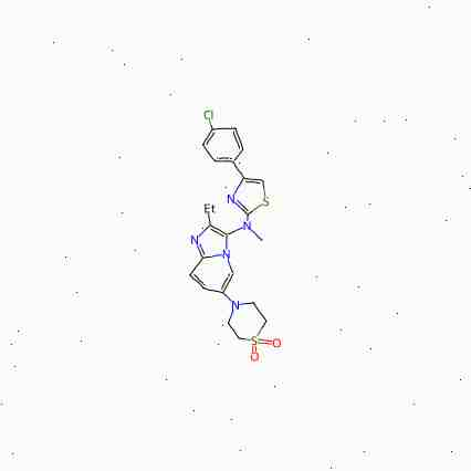 CCc1nc2ccc(N3CCS(=O)(=O)CC3)cn2c1N(C)c1nc(-c2ccc(Cl)cc2)cs1